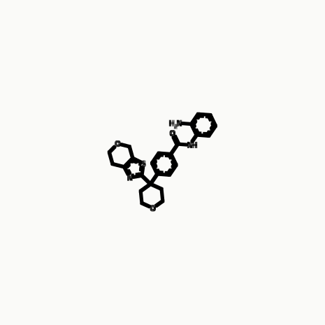 Nc1ccccc1NC(=O)c1ccc(C2(c3nc4c(s3)COCC4)CCOCC2)cc1